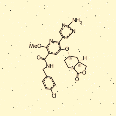 COc1nc(-c2cnc(N)nc2)c(O[C@H]2CCN3C(=O)OC[C@@H]3C2)cc1C(=O)NCc1ccc(Cl)cc1